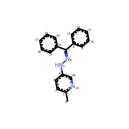 Cc1ccc(NN=C(c2ccccc2)c2ccccc2)cn1